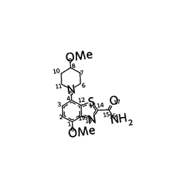 COc1ccc(N2CCC(OC)CC2)c2sc(C(N)=O)nc12